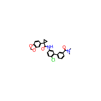 CN(C)C(=O)c1cccc(-c2cc(NC(=O)C3(c4ccc5c(c4)OCO5)CC3)ccc2Cl)c1